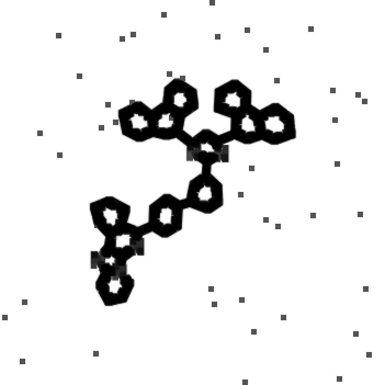 c1cc(-c2ccc(-c3nc4c(nc5ccccn54)c4ccccc34)cc2)cc(-c2nc(-c3cc4ccccc4c4ccccc34)cc(-c3cc4ccccc4c4ccccc34)n2)c1